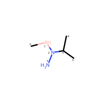 CBN(N)C(C)C